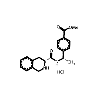 COC(=O)c1ccc([C@H](C)NC(=O)[C@H]2Cc3ccccc3CN2)cc1.Cl